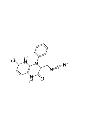 [N-]=[N+]=NCC1C(=O)NC2=C(NC(Cl)C=C2)N1c1ccccc1